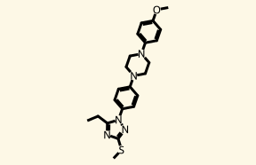 CCc1nc(SC)nn1-c1ccc(N2CCN(c3ccc(OC)cc3)CC2)cc1